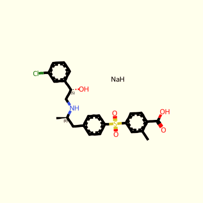 Cc1cc(S(=O)(=O)c2ccc(C[C@@H](C)NC[C@@H](O)c3cccc(Cl)c3)cc2)ccc1C(=O)O.[NaH]